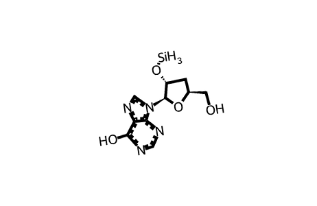 OC[C@@H]1C[C@@H](O[SiH3])[C@H](n2cnc3c(O)ncnc32)O1